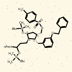 CCCCCC(CC[C@@H]1[C@@H](Cc2cccc(OCc3ccccc3)c2)[C@@H](COS(=O)(=O)c2ccc(C)cc2)C[C@H]1O[Si](C)(C)C(C)(C)C)O[Si](C)(C)C(C)(C)C